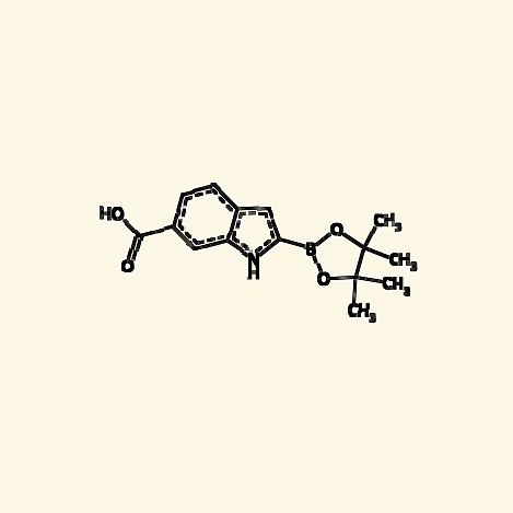 CC1(C)OB(c2cc3ccc(C(=O)O)cc3[nH]2)OC1(C)C